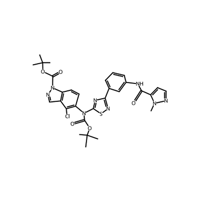 Cn1nccc1C(=O)Nc1cccc(-c2nsc(N(C(=O)OC(C)(C)C)c3ccc4c(cnn4C(=O)OC(C)(C)C)c3Cl)n2)c1